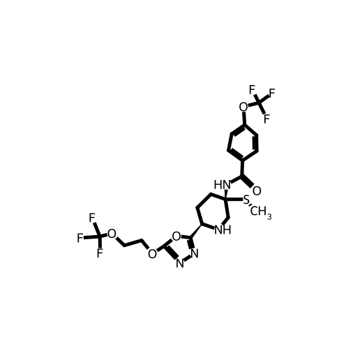 CS[C@@]1(NC(=O)c2ccc(OC(F)(F)F)cc2)CC[C@H](c2nnc(OCCOC(F)(F)F)o2)NC1